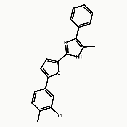 Cc1ccc(-c2ccc(-c3nc(-c4ccccc4)c(C)[nH]3)o2)cc1Cl